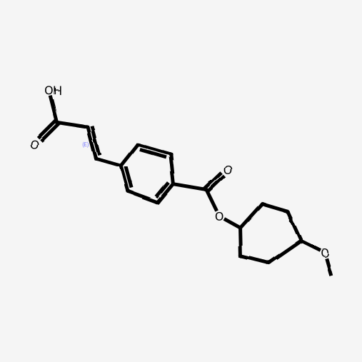 COC1CCC(OC(=O)c2ccc(/C=C/C(=O)O)cc2)CC1